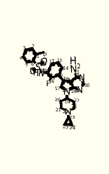 Cc1ccccc1S(=O)(=O)Nc1cccc(-c2cn(C3CCN(C4CC4)CC3)c3ncnc(N)c23)c1F